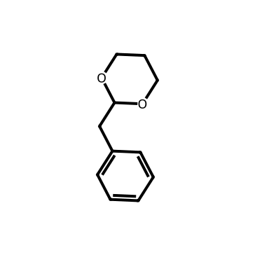 c1ccc(CC2OCCCO2)cc1